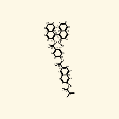 C=C(C)C(=O)Oc1ccc2cc(C(=O)Oc3ccc(C(=O)Oc4ccc5ccccc5c4-c4c(OC)ccc5ccccc45)cc3)ccc2c1